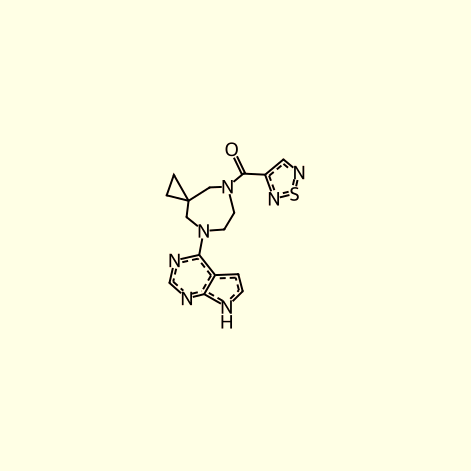 O=C(c1cnsn1)N1CCN(c2ncnc3[nH]ccc23)CC2(CC2)C1